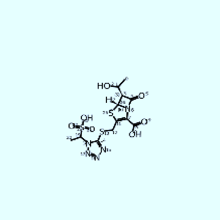 CC(O)[C@H]1C(=O)N2C(C(=O)O)=C(CSc3nnnn3C(C)S(=O)(=O)O)S[C@H]12